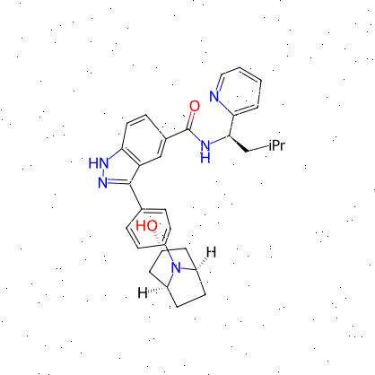 CC(C)C[C@@H](NC(=O)c1ccc2[nH]nc(-c3ccc(N4[C@@H]5CC[C@H]4C[C@H](O)C5)cc3)c2c1)c1ccccn1